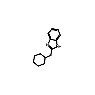 c1ccc2[nH]c(CC3CCCCC3)nc2c1